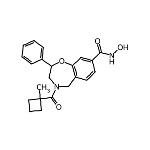 CC1(C(=O)N2Cc3ccc(C(=O)NO)cc3OC(c3ccccc3)C2)CCC1